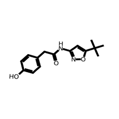 CC(C)(C)c1cc(NC(=O)Cc2ccc(O)cc2)no1